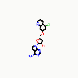 Nc1ncnc2c1ccn2[C@@H]1O[C@H](COc2cc(Cl)c3cccnc3c2)C[C@H]1O